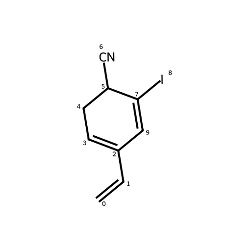 C=CC1=CCC(C#N)C(I)=C1